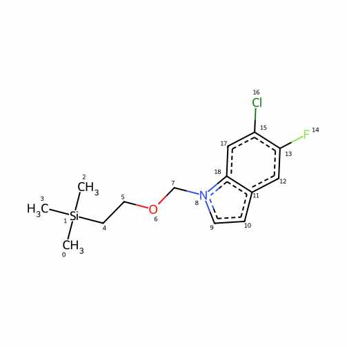 C[Si](C)(C)CCOCn1ccc2cc(F)c(Cl)cc21